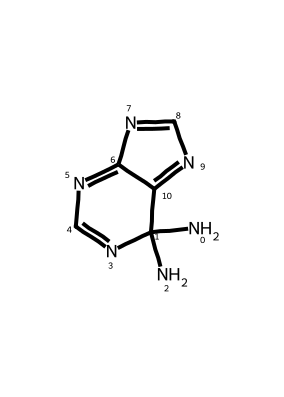 NC1(N)N=CN=C2N=CN=C21